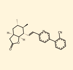 C[C@H]1[C@H](/C=C/c2ccc(-c3ccccc3C#N)cn2)[C@H]2OC(=O)C[C@H]2C[C@@H]1C